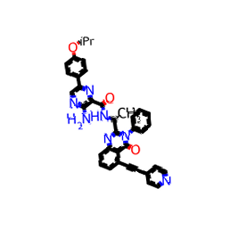 CC(C)Oc1ccc(-c2cnc(N)c(C(=O)N[C@H](C)c3nc4cccc(C#Cc5ccncc5)c4c(=O)n3-c3ccccc3)n2)cc1